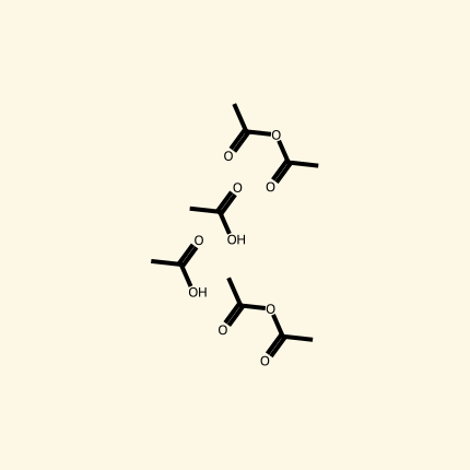 CC(=O)O.CC(=O)O.CC(=O)OC(C)=O.CC(=O)OC(C)=O